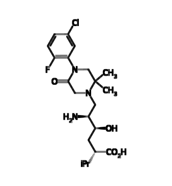 CC(C)[C@H](C[C@H](O)[C@@H](N)CN1CC(=O)N(c2cc(Cl)ccc2F)CC1(C)C)C(=O)O